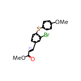 COC(=O)/C=C/c1ccc(Sc2ccc(OC)cc2)c(Br)c1